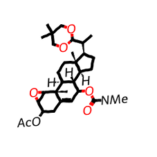 CNC(=O)OC1C=C2CC(OC(C)=O)C3OC3[C@]2(C)[C@H]2CC[C@]3(C)[C@@H](C(C)C4OCC(C)(C)CO4)CC[C@H]3[C@H]12